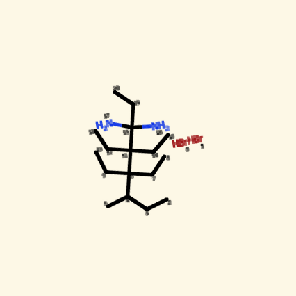 Br.Br.CCC(C)C(CC)(CC)C(CC)(CC)C(N)(N)CC